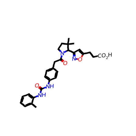 Cc1ccccc1NC(=O)Nc1ccc(CC(=O)N2CCC(C)(C)C2c2cc(CCC(=O)O)on2)cc1